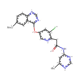 COc1ccc2ncnc(Oc3cnc(CC(=O)Nc4cc(C(C)(C)C)ncn4)c(F)c3)c2c1